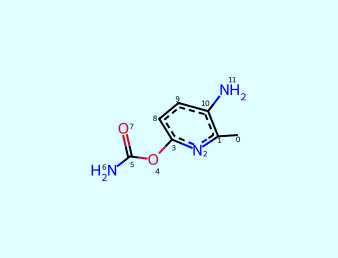 Cc1nc(OC(N)=O)ccc1N